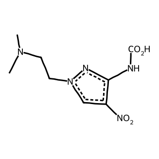 CN(C)CCn1cc([N+](=O)[O-])c(NC(=O)O)n1